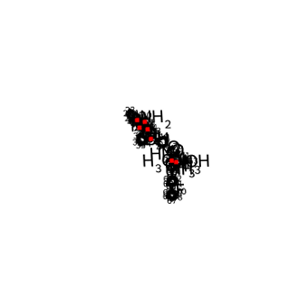 CC(C)(C)[C@H](NC(=O)[C@H]1CC[C@@H](N2CCC(c3cnc(N4C5CCC4CN(c4cc(-c6ccccc6O)nnc4N)C5)nc3)CC2)CC1)C(=O)N1C[C@H](O)C[C@H]1C(=O)NOc1ccc(-c2ccccc2F)cc1